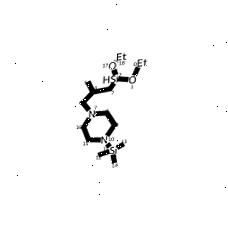 CCO[SiH](CC(C)CN1CCN([Si](C)(C)C)CC1)OCC